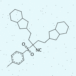 [C-]#[N+]C(CCC1CC2CCCCC2C1)(CCC1CC2CCCCC2C1)S(=O)(=O)c1ccc(C)cc1